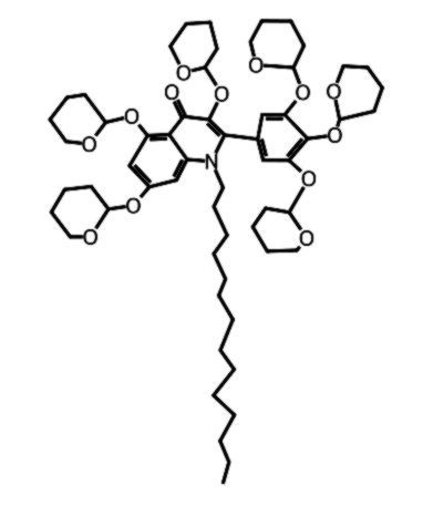 CCCCCCCCCCCCCCn1c(-c2cc(OC3CCCCO3)c(OC3CCCCO3)c(OC3CCCCO3)c2)c(OC2CCCCO2)c(=O)c2c(OC3CCCCO3)cc(OC3CCCCO3)cc21